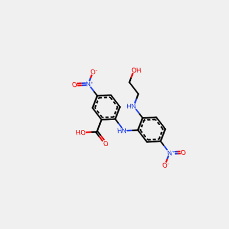 O=C(O)c1cc([N+](=O)[O-])ccc1Nc1cc([N+](=O)[O-])ccc1NCCO